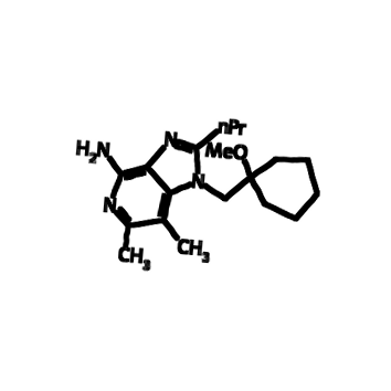 CCCc1nc2c(N)nc(C)c(C)c2n1CC1(OC)CCCCC1